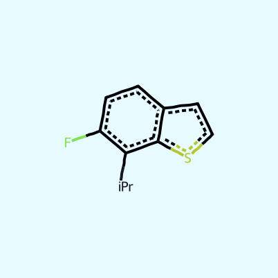 CC(C)c1c(F)ccc2ccsc12